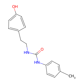 Cc1ccc(NC(=O)NCCc2ccc(O)cc2)cc1